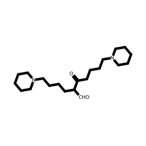 O=[C]C(CCCCN1CCCCC1)C(=O)CCCCN1CCCCC1